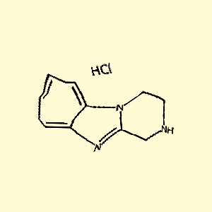 Cl.c1ccc2c(c1)nc1n2CCNC1